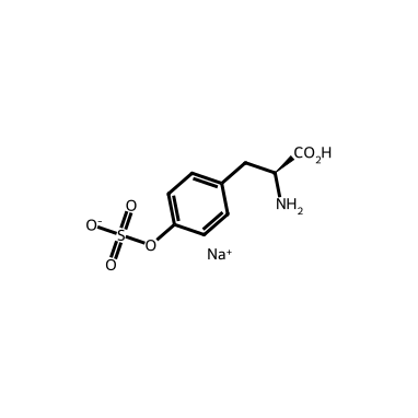 N[C@@H](Cc1ccc(OS(=O)(=O)[O-])cc1)C(=O)O.[Na+]